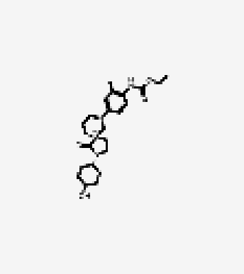 CCOC(=O)Nc1ccc(N2CCC[C@@]3(CCN([C@H]4CC[C@H](O)CC4)C3=O)C2)cc1C